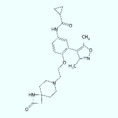 Cc1noc(C)c1-c1cc(NC(=O)C2CC2)ccc1OCCN1CCC2(CC1)CC(=O)N2